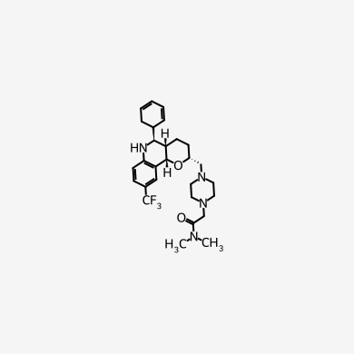 CN(C)C(=O)CN1CCN(C[C@H]2CC[C@@H]3[C@H](O2)c2cc(C(F)(F)F)ccc2N[C@H]3C2C=CC=CC2)CC1